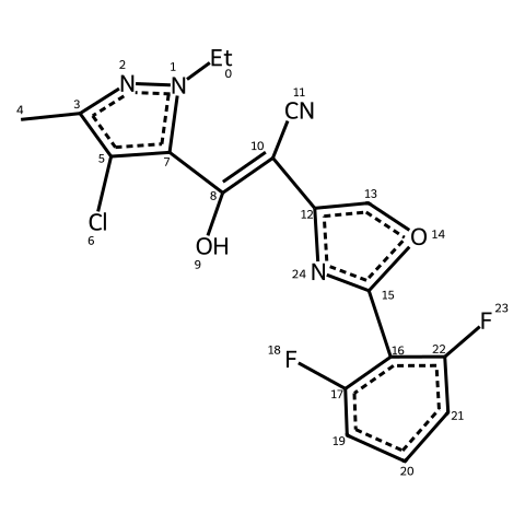 CCn1nc(C)c(Cl)c1C(O)=C(C#N)c1coc(-c2c(F)cccc2F)n1